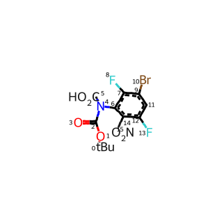 CC(C)(C)OC(=O)N(C(=O)O)c1c(F)c(Br)cc(F)c1[N+](=O)[O-]